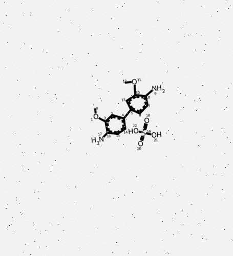 COc1cc(-c2ccc(N)c(OC)c2)ccc1N.O=S(=O)(O)O